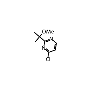 COC(C)(C)c1nccc(Cl)n1